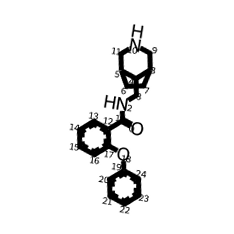 O=C(NCC1C2CCC1CNC2)c1ccccc1Oc1ccccc1